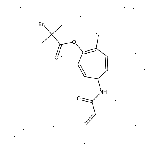 C=CC(=O)NC1C=CC(C)=C(OC(=O)C(C)(C)Br)C=C1